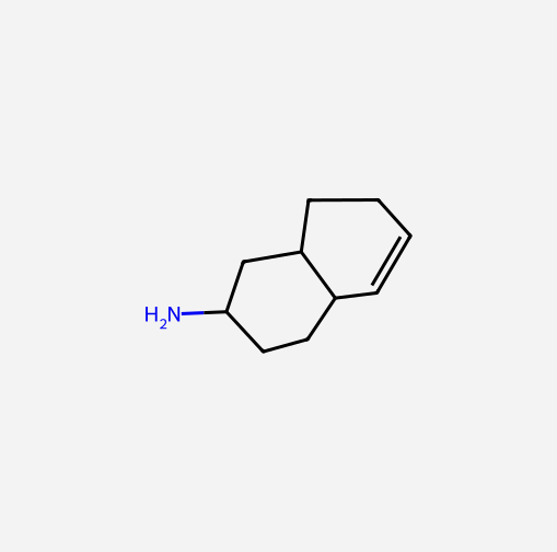 NC1CCC2C=CCCC2C1